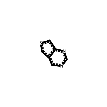 [c]1scc2cncnc12